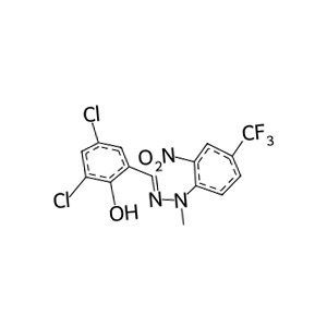 CN(N=Cc1cc(Cl)cc(Cl)c1O)c1ccc(C(F)(F)F)cc1[N+](=O)[O-]